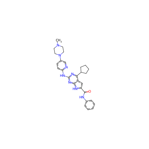 CN1CCN(c2ccc(Nc3nc(C4CCCC4)c4cc(C(=O)Nc5ccccc5)[nH]c4n3)nc2)CC1